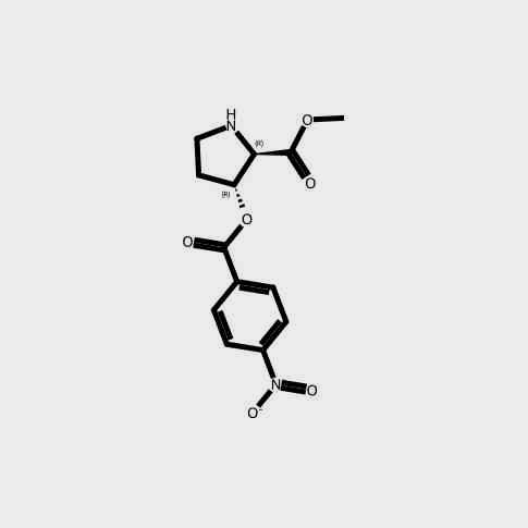 COC(=O)[C@@H]1NCC[C@H]1OC(=O)c1ccc([N+](=O)[O-])cc1